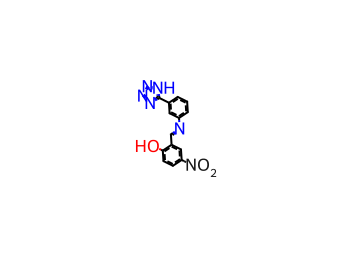 O=[N+]([O-])c1ccc(O)c(/C=N/c2cccc(-c3nnn[nH]3)c2)c1